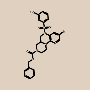 O=C(OCc1ccccc1)N1CCN2c3ncc(Br)cc3N(S(=O)(=O)c3cccc(C(F)(F)F)c3)CC2C1